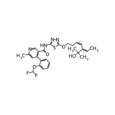 C/C=C(\C=C/CCOc1nnc(NC(=O)c2cnc(C)cc2-c2ccccc2OC(F)F)s1)C(C)(C)O